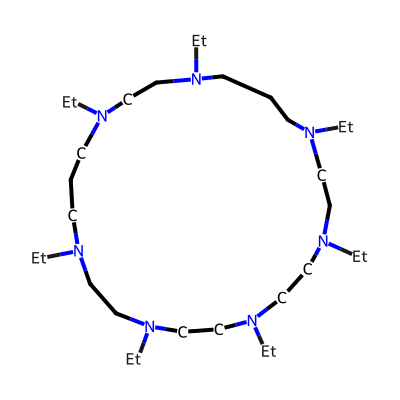 CCN1CCCN(CC)CCN(CC)CCN(CC)CCN(CC)CCN(CC)CCCN(CC)CC1